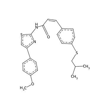 COc1ccc(-c2csc(NC(=O)/C=C\c3ccc(SCC(C)C)cc3)n2)cc1